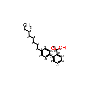 CCCCCCCCc1ccc(-c2ccccc2C(=O)O)cc1